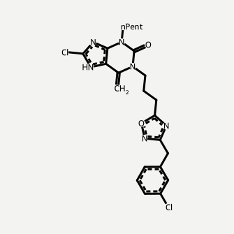 C=C1c2[nH]c(Cl)nc2N(CCCCC)C(=O)N1CCCc1nc(Cc2cccc(Cl)c2)no1